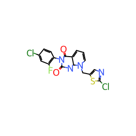 O=c1nc2n(Cc3cnc(Cl)s3)cccc-2c(=O)n1-c1ccc(Cl)cc1F